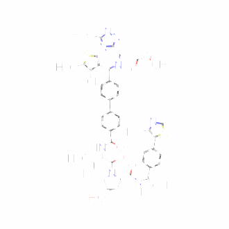 COC(=O)C[C@@H]1N=C(c2ccc(-c3ccc(C(=O)NC(C(=O)N4C[C@H](O)C[C@H]4C(=O)N[C@@H](C)c4ccc(-c5scnc5C)cc4)C(C)C)cc3)cc2)c2c(sc(C)c2C)-n2c(C)nnc21